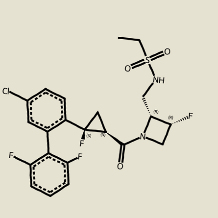 CCS(=O)(=O)NC[C@@H]1[C@H](F)CN1C(=O)[C@@H]1C[C@@]1(F)c1ccc(Cl)cc1-c1c(F)cccc1F